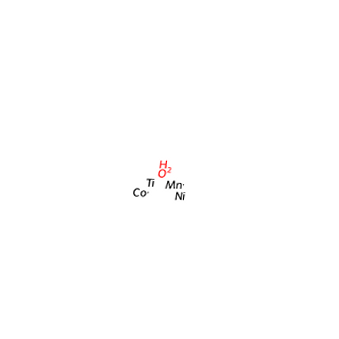 O.[Co].[Mn].[Ni].[Ti]